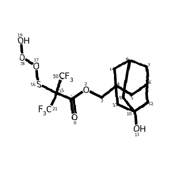 O=C(OCC12CC3CC(CC(O)(C3)C1)C2)C(SOOO)(C(F)(F)F)C(F)(F)F